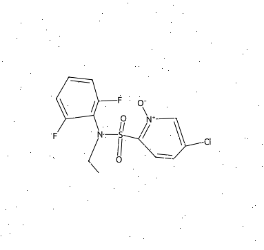 CCN(c1c(F)cccc1F)S(=O)(=O)c1ccc(Cl)c[n+]1[O-]